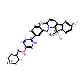 C=C1C=CC2=C(N1Cc1cccc(-c3ncc(OCC4CCNCC4)cn3)c1)C(C)(F)c1ccc(C#N)cc12